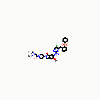 CC(C)Oc1cc2c(cc1Nc1ncc(Cl)c(Cc3ccccc3S(=O)(=O)C3CCCCC3)n1)C(=O)N(C1CCN(C(=O)CN(C)C)CC1)C2